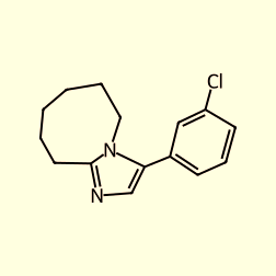 Clc1cccc(-c2cnc3n2CCCCCC3)c1